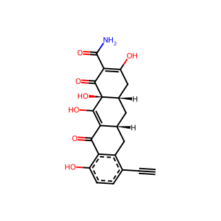 C#Cc1ccc(O)c2c1C[C@H]1C[C@H]3CC(O)=C(C(N)=O)C(=O)[C@@]3(O)C(O)=C1C2=O